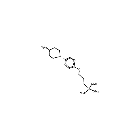 CO[Si](CCCOc1ccc([C@H]2CC[C@H](C)CC2)cc1)(OC)OC